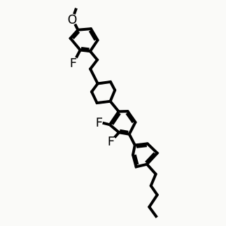 CCCCCc1ccc(-c2ccc(C3CCC(CCc4ccc(OC)cc4F)CC3)c(F)c2F)cc1